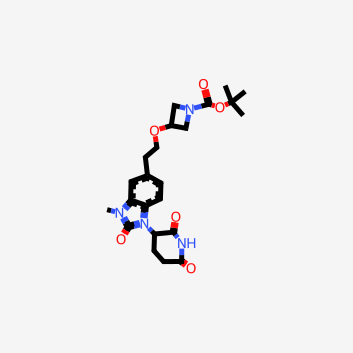 Cn1c(=O)n(C2CCC(=O)NC2=O)c2ccc(CCOC3CN(C(=O)OC(C)(C)C)C3)cc21